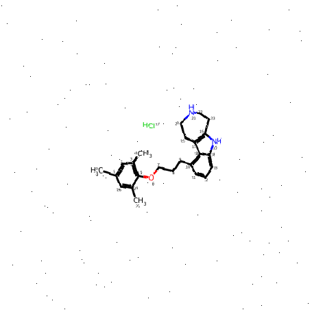 Cc1cc(C)c(OCCCc2cccc3[nH]c4c(c23)CCNCC4)c(C)c1.Cl